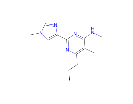 CCCc1nc(-c2cn(C)cn2)nc(NC)c1C